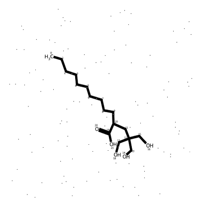 CCCCCCCCCCC(CC(CO)(CO)CO)C(=O)O